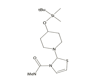 CNC(=O)N1C=CSC1N1CCC(O[Si](C)(C)C(C)(C)C)CC1